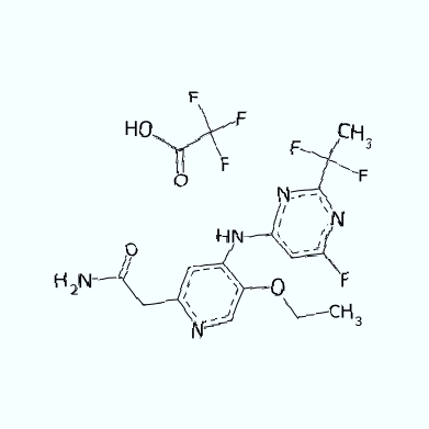 CCOc1cnc(CC(N)=O)cc1Nc1cc(F)nc(C(C)(F)F)n1.O=C(O)C(F)(F)F